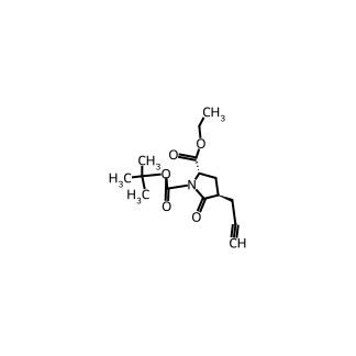 C#CC[C@@H]1C[C@@H](C(=O)OCC)N(C(=O)OC(C)(C)C)C1=O